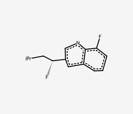 CC(C)C[C@@H](F)c1cnc2c(F)cccc2c1